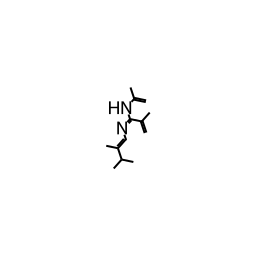 C=C(C)N/C(=N/C=C(\C)C(C)C)C(=C)C